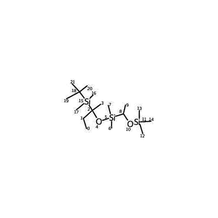 CCC(C)(O[Si](C)(C)C(C)O[Si](C)(C)C)[Si](C)(C)C(C)(C)C